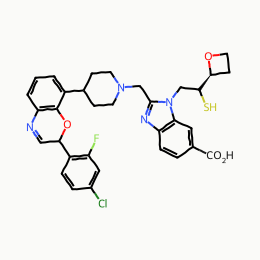 O=C(O)c1ccc2nc(CN3CCC(c4cccc5c4OC(c4ccc(Cl)cc4F)C=N5)CC3)n(CC(S)[C@@H]3CCO3)c2c1